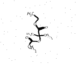 CCOC(=O)C(C)(C)OC(C)=O